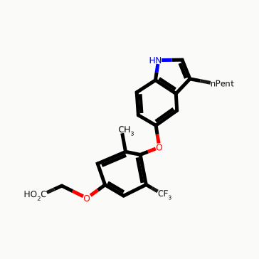 CCCCCc1c[nH]c2ccc(Oc3c(C)cc(OCC(=O)O)cc3C(F)(F)F)cc12